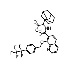 O=C(NC(C(=O)O)C12CC3CC(CC(C3)C1)C2)c1ccc2cccnc2c1OCc1ccc(C(F)(F)C(F)(F)F)cc1